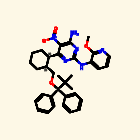 COc1ncccc1Nc1nc(N)c([N+](=O)[O-])c([C@@H]2CCCC[C@@H]2CO[Si](c2ccccc2)(c2ccccc2)C(C)(C)C)n1